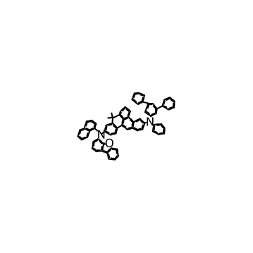 CC1(C)c2cc(N(c3cccc4ccccc34)c3cccc4c3oc3ccccc34)ccc2-c2cc3ccc(N(c4ccccc4)c4cc(-c5ccccc5)cc(-c5ccccc5)c4)cc3c3cccc1c23